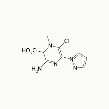 CN1C(Cl)=C(n2cccn2)N=C(N)C1C(=O)O